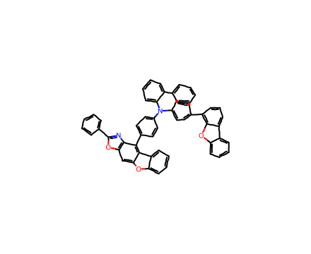 c1ccc(-c2nc3c(-c4ccc(N(c5ccc(-c6cccc7c6oc6ccccc67)cc5)c5ccccc5-c5ccccc5)cc4)c4c(cc3o2)oc2ccccc24)cc1